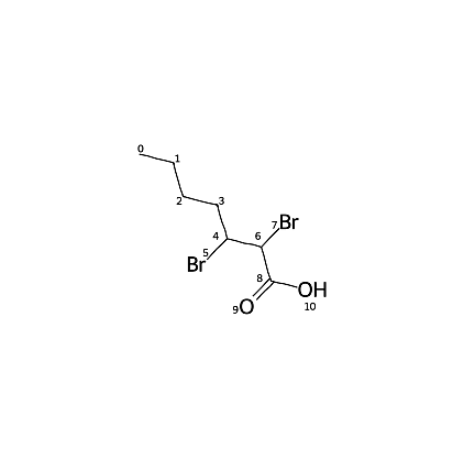 CCCCC(Br)C(Br)C(=O)O